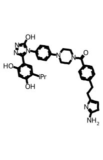 CC(C)c1cc(-c2nnc(O)n2-c2ccc(N3CCN(C(=O)c4ccc(CCC5=CCC(N)=N5)cc4)CC3)cc2)c(O)cc1O